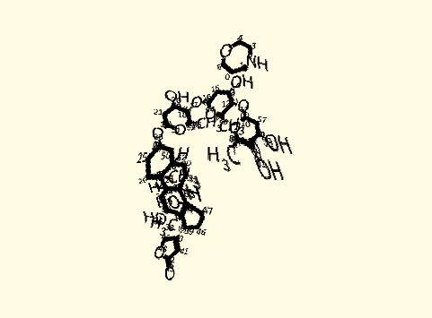 C1CNCCOC1.C[C@H]1O[C@@H](O[C@H]2[C@@H](O)C[C@H](O[C@H]3[C@@H](O)C[C@H](O[C@H]4CC[C@@]5(C)[C@H](CC[C@@H]6[C@@H]5C[C@@H](O)[C@]5(C)[C@@H](C7=CC(=O)OC7)CC[C@]65O)C4)O[C@@H]3C)O[C@@H]2C)C[C@H](O)[C@@H]1O